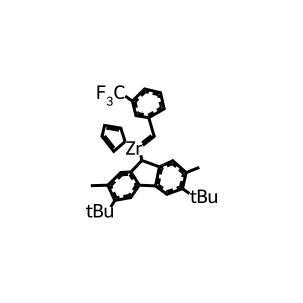 Cc1cc2c(cc1C(C)(C)C)-c1cc(C(C)(C)C)c(C)cc1[CH]2[Zr](=[CH]c1cccc(C(F)(F)F)c1)[CH]1C=CC=C1